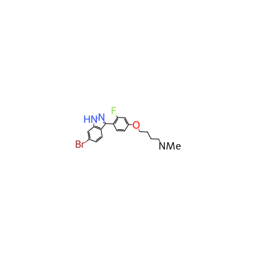 CNCCCCOc1ccc(-c2n[nH]c3cc(Br)ccc23)c(F)c1